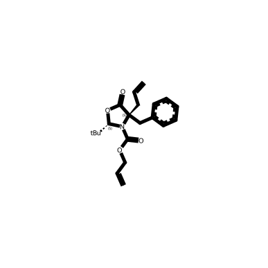 C=CCOC(=O)N1[C@H](C(C)(C)C)OC(=O)[C@]1(CC=C)Cc1ccccc1